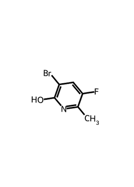 Cc1nc(O)c(Br)cc1F